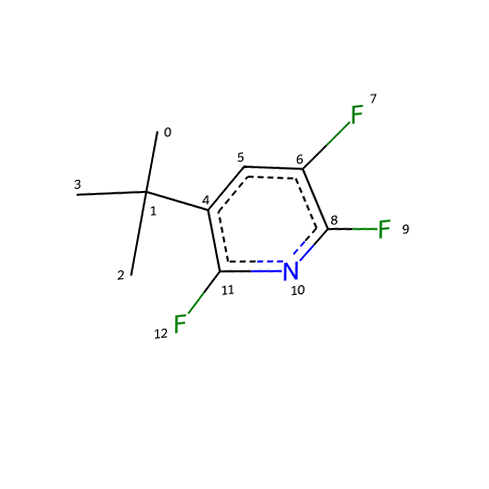 CC(C)(C)c1cc(F)c(F)nc1F